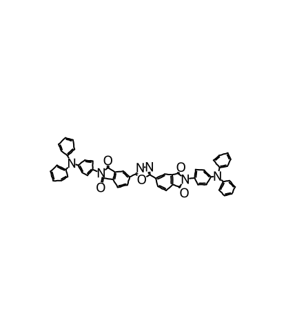 O=C1c2ccc(-c3nnc(-c4ccc5c(c4)C(=O)N(c4ccc(N(c6ccccc6)c6ccccc6)cc4)C5=O)o3)cc2C(=O)N1c1ccc(N(c2ccccc2)c2ccccc2)cc1